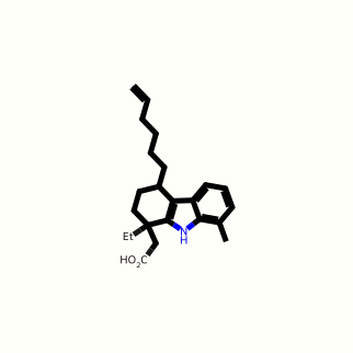 C=CCCCCC1CCC(CC)(CC(=O)O)c2[nH]c3c(C)cccc3c21